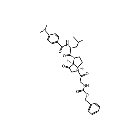 CC(C)C[C@H](NC(=O)c1ccc(N(C)C)cc1)C(=O)N1CC[C@@H]2[C@H]1C(=O)CN2C(=O)CNC(=O)OCc1ccccc1